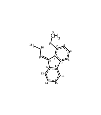 CCc1cccc2c1/C(=C\CI)c1ccccc1-2